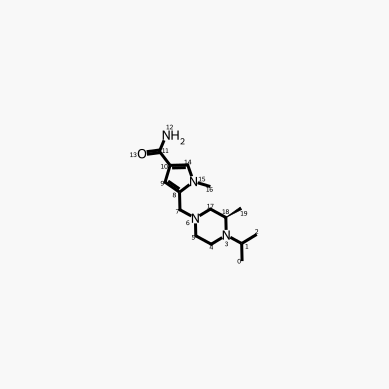 CC(C)N1CCN(Cc2cc(C(N)=O)cn2C)C[C@H]1C